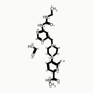 CCNC(=O)Nc1cc(CN2CCN(c3ccc(C(=O)NC)nc3F)CC2)ncn1.O=CO